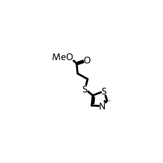 COC(=O)CCSc1cn[c]s1